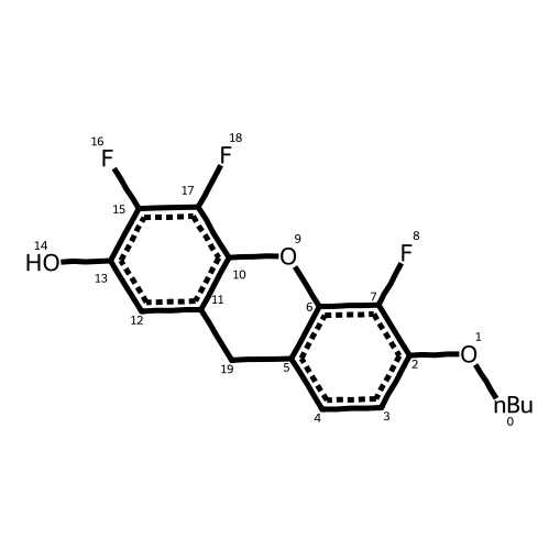 CCCCOc1ccc2c(c1F)Oc1c(cc(O)c(F)c1F)C2